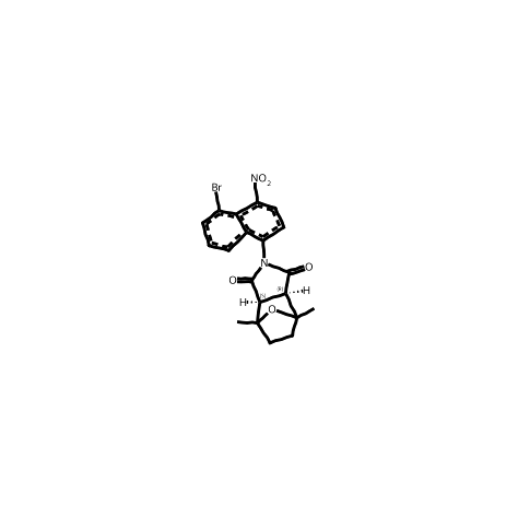 CC12CCC(C)(O1)[C@H]1C(=O)N(c3ccc([N+](=O)[O-])c4c(Br)cccc34)C(=O)[C@H]12